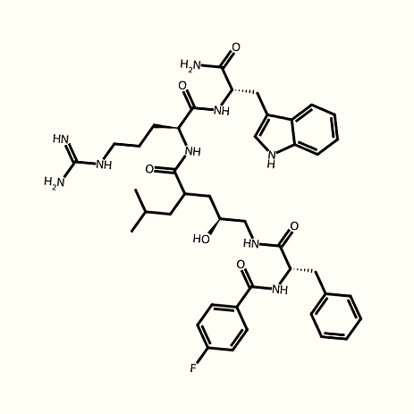 CC(C)CC(C[C@H](O)CNC(=O)[C@H](Cc1ccccc1)NC(=O)c1ccc(F)cc1)C(=O)N[C@@H](CCCNC(=N)N)C(=O)N[C@@H](Cc1c[nH]c2ccccc12)C(N)=O